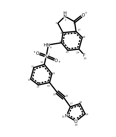 O=C1NCc2c(NS(=O)(=O)c3cccc(C#Cc4ccon4)c3)cc(F)cc21